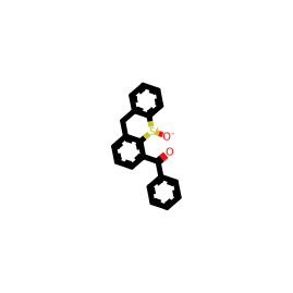 O=C(c1ccccc1)c1cccc2c1[S+]([O-])c1ccccc1C2